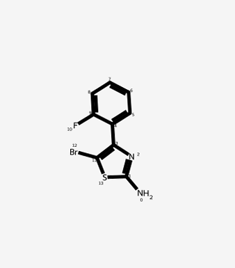 Nc1nc(-c2ccccc2F)c(Br)s1